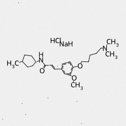 COc1cc(/C=C/C(=O)NC2CCC(C)CC2)ccc1OCCCCCN(C)C.Cl.[NaH]